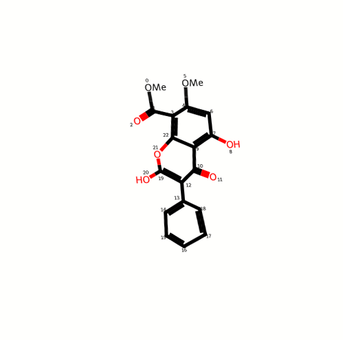 COC(=O)c1c(OC)cc(O)c2c(=O)c(-c3ccccc3)c(O)oc12